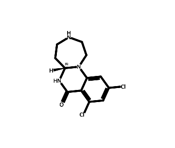 O=C1N[C@@H]2CCNCCN2c2cc(Cl)cc(Cl)c21